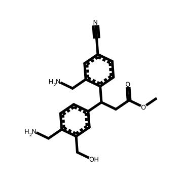 COC(=O)CC(c1ccc(CN)c(CO)c1)c1ccc(C#N)cc1CN